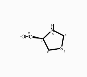 O=[C][C@@H]1CSCN1